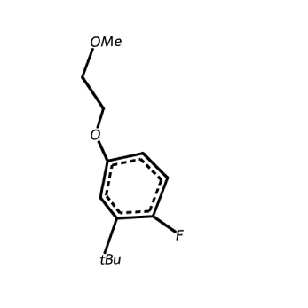 COCCOc1ccc(F)c(C(C)(C)C)c1